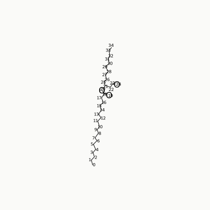 CCCCCCCCCCCCCCCCCCC(=O)OC(CC=O)CCCCCCCCCC